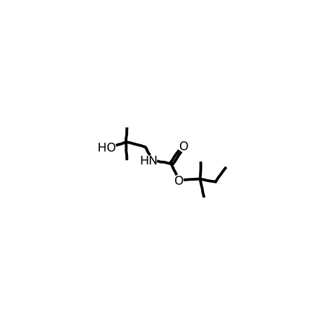 CCC(C)(C)OC(=O)NCC(C)(C)O